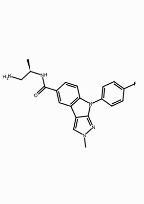 C[C@H](CN)NC(=O)c1ccc2c(c1)c1cn(C)nc1n2-c1ccc(F)cc1